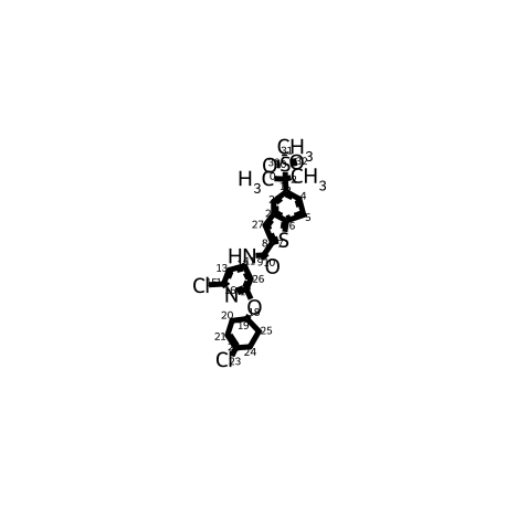 CC(C)(c1ccc2sc(C(=O)Nc3cc(Cl)nc(OC4CC=C(Cl)CC4)c3)cc2c1)S(C)(=O)=O